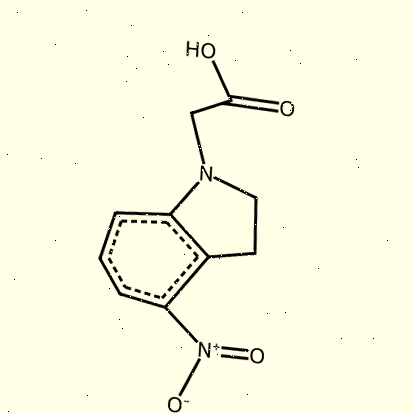 O=C(O)CN1CCc2c1cccc2[N+](=O)[O-]